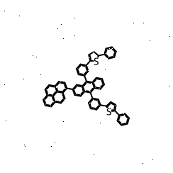 C1=C(c2cccc(-c3c4ccccc4c(-c4cccc(-c5ccc(-c6ccccc6)s5)c4)c4ccc(-c5ccc6ccc7cccc8ccc5c6c78)cc34)c2)SC(c2ccccc2)C1